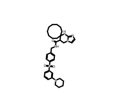 O=C(NCc1ccc(S(=O)(=O)c2cccc(N3CCCCC3)c2)cc1)C1Cn2ccnc2NC12CCCCCCCCC2